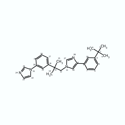 CC(C)(C)c1cccc(-c2cn(CC(C)(C)c3cccc(-n4ccnc4)c3)cn2)c1